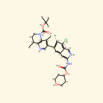 Cc1c(-c2cc3cc(NC(=O)OC4CCOCC4)ncc3c(Cl)c2F)cnc2c1N(C(=O)OC(C)(C)C)CCC2C